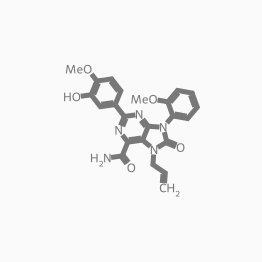 C=CCn1c(=O)n(-c2ccccc2OC)c2nc(-c3ccc(OC)c(O)c3)nc(C(N)=O)c21